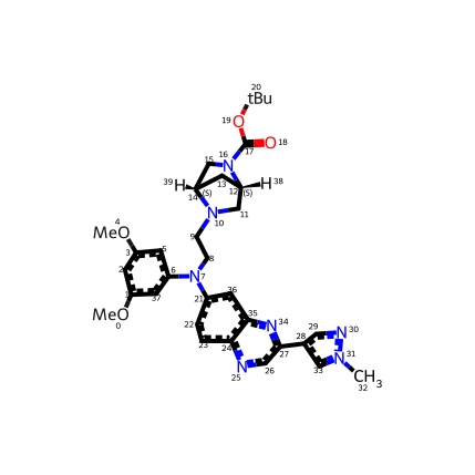 COc1cc(OC)cc(N(CCN2C[C@@H]3C[C@H]2CN3C(=O)OC(C)(C)C)c2ccc3ncc(-c4cnn(C)c4)nc3c2)c1